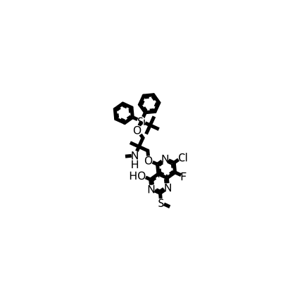 CNC(C)(COc1nc(Cl)c(F)c2nc(SC)nc(O)c12)CO[Si](c1ccccc1)(c1ccccc1)C(C)(C)C